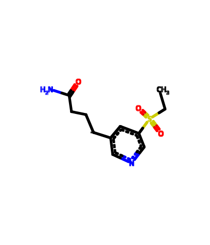 CCS(=O)(=O)c1cncc([CH]CCC(N)=O)c1